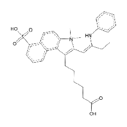 CCC(=CC1=C(CCCCCC(=O)O)c2c(ccc3c(S(=O)(=O)O)cccc23)[N+]1(C)C)Nc1ccccc1